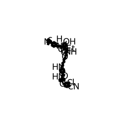 CC[C@H](NC(=O)COCCCCCNc1ccc(C(=O)N[C@H]2C(C)(C)[C@H](Oc3ccc(C#N)c(Cl)c3)C2(C)C)cc1)C(=O)N1C[C@H](O)C[C@H]1C(=O)NCc1ccc(-c2scnc2C)cc1